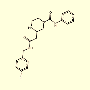 O=C(CC1CN(C(=O)Nc2ccccc2)CCN1)NCc1ccc(Cl)cc1